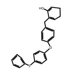 OC1=CCCC=C1Cc1ccc(Oc2ccc(Sc3ccccc3)cc2)cc1